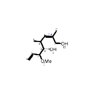 C=CC(OC)[C@@H](O)C(C)/C=C(/C)CO